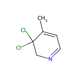 CC1=CC=NCC1(Cl)Cl